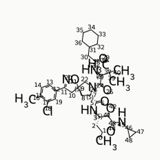 CCC[C@H](NC(=O)[C@@H]1C[C@]2(CC(c3ccc(C)c(Cl)c3)=NO2)CN1C(=O)[C@@H](NC(=O)CC1CCCCC1)C(C)(C)C)C(=O)C(=O)NC1CC1